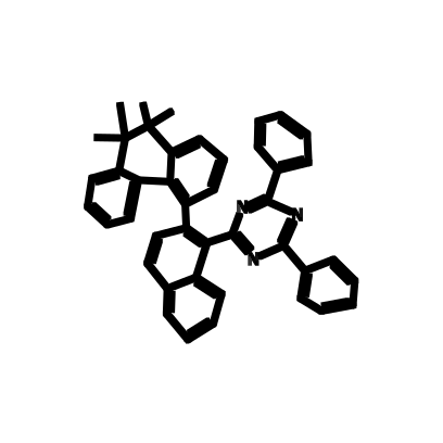 CC1(C)c2ccccc2-c2c(-c3ccc4ccccc4c3-c3nc(-c4ccccc4)nc(-c4ccccc4)n3)cccc2C1(C)C